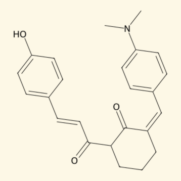 CN(C)c1ccc(/C=C2/CCCC(C(=O)/C=C/c3ccc(O)cc3)C2=O)cc1